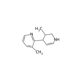 Cc1cccnc1C1C=CNCC1C